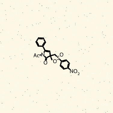 CC(=O)N1C(=O)C(C)(CS(=O)(=O)c2ccc([N+](=O)[O-])cc2)C=C1c1ccccc1